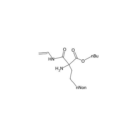 C=CNC(=O)C(N)(CCCCCCCCCCC)C(=O)OCCCC